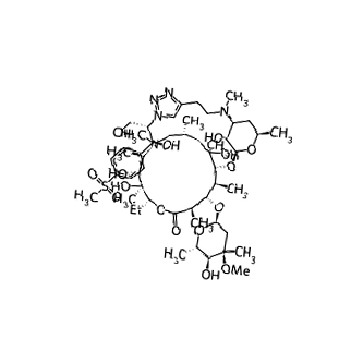 CC[C@H]1OC(=O)[C@H](C)[C@@H](O[C@H]2C[C@@](C)(OC)[C@@H](O)[C@H](C)O2)[C@H](C)[C@@H](O[C@@H]2O[C@H](C)C[C@H](N(C)CCc3cn([C@@H](CO)[C@@H](O)c4ccc(S(C)(=O)=O)cc4)nn3)[C@H]2O)[C@](C)(O)C[C@@H](C)CN(C)[C@H](C)[C@@H](O)[C@]1(C)O